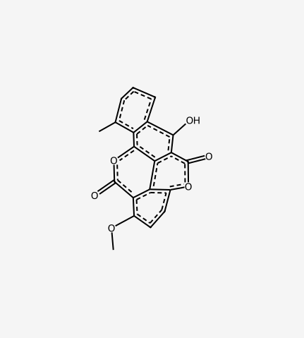 COc1ccc2oc(=O)c3c(O)c4cccc(C)c4c4oc(=O)c1c2c34